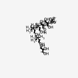 C[N+](C)(C)CCO.C[N+](C)(C)CCO.C[N+](C)(C)CCO.O=P([O-])([O-])[O-].OCC(O)CO.OCC(O)CO.OCC(O)CO